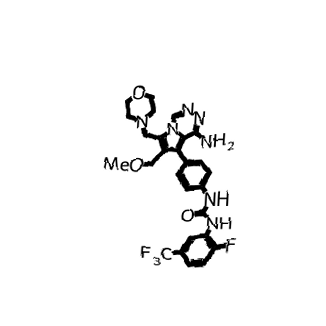 COCc1c(-c2ccc(NC(=O)Nc3cc(C(F)(F)F)ccc3F)cc2)c2c(N)nncn2c1CN1CCOCC1